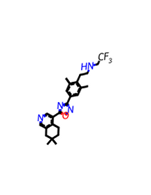 Cc1cc(-c2noc(-c3cncc4c3CCC(C)(C)C4)n2)cc(C)c1CCNCC(F)(F)F